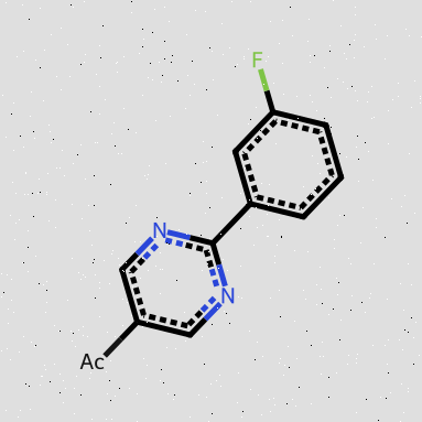 CC(=O)c1cnc(-c2cccc(F)c2)nc1